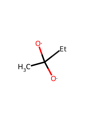 CCC(C)([O])[O]